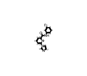 O=C(Nc1cccc(F)c1)c1cccc(-n2ccnc2)n1